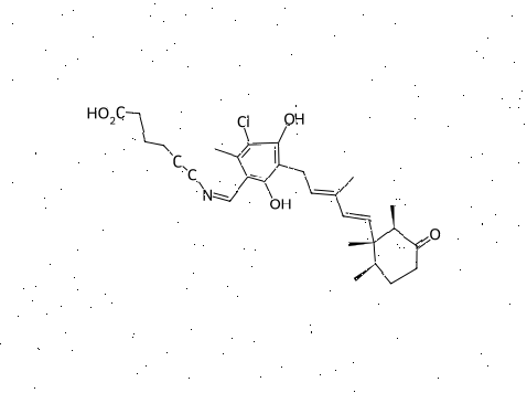 CC(/C=C/[C@@]1(C)[C@H](C)CCC(=O)[C@@H]1C)=C\Cc1c(O)c(Cl)c(C)c(/C=N\CCCCCC(=O)O)c1O